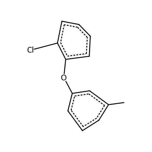 Cc1cccc(Oc2ccccc2Cl)c1